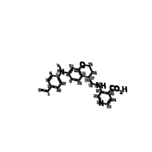 C=Cc1ccc(N(C)c2ccc3c(c2)OCC[C@H]3CNc2cnccc2C(=O)O)cc1